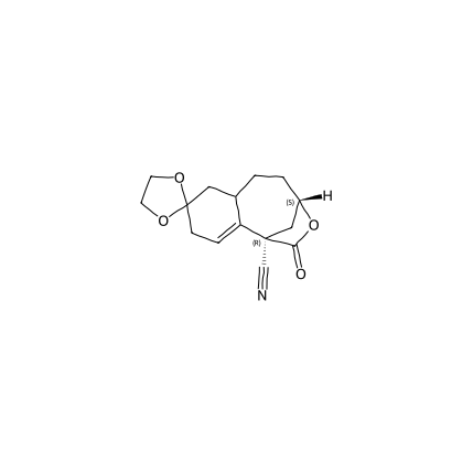 N#C[C@@]12C[C@H](CCC3CC4(CC=C31)OCCO4)OC2=O